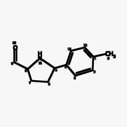 Cc1ccc(C2CCC(C=O)N2)cc1